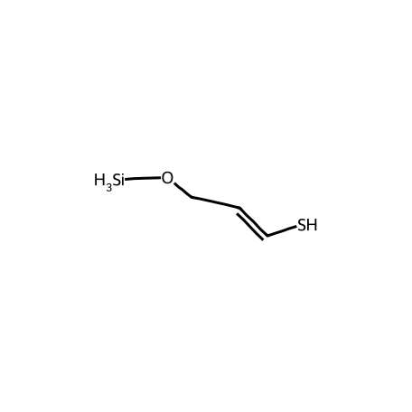 [SiH3]OCC=CS